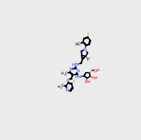 Cc1nc(NCC2C3CN(c4ccc(F)cc4C#N)C[C@@H]23)nc(NC2C[C@H](CO)[C@@H](O)[C@H]2O)c1-c1nc2c(C)nccc2s1